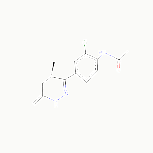 C=C1C[C@@H](C)C(c2ccc(NC(C)=O)c(Cl)c2)=NN1